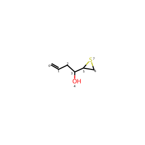 C=CCC(O)C1CS1